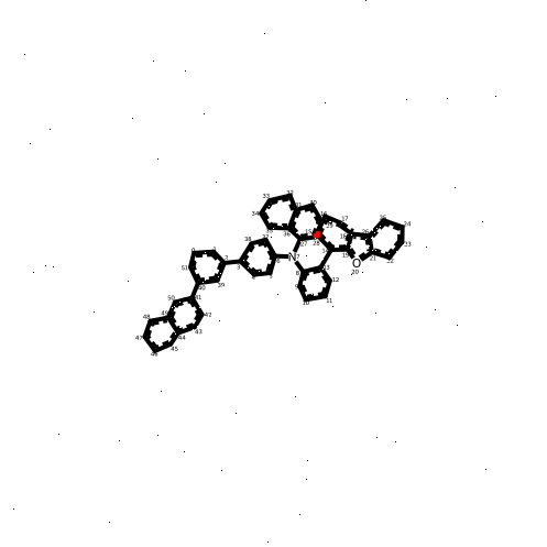 c1cc(-c2ccc(N(c3ccccc3-c3cccc4c3oc3ccccc34)c3cccc4ccccc34)cc2)cc(-c2ccc3ccccc3c2)c1